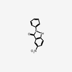 O=c1c2cc([N+](=O)[O-])ccc2[se]n1-c1ccccc1